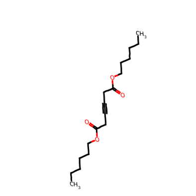 CCCCCCOC(=O)CC#CCC(=O)OCCCCCC